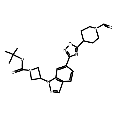 CC(C)(C)OC(=O)N1CC(n2ncc3ccc(-c4noc(C5CCN(C=O)CC5)n4)cc32)C1